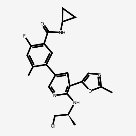 Cc1ncc(-c2cc(-c3cc(C(=O)NC4CC4)c(F)cc3C)cnc2N[C@@H](C)CO)o1